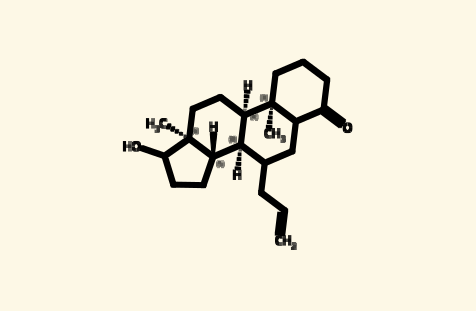 C=CCC1CC2C(=O)CCC[C@]2(C)[C@@H]2CC[C@]3(C)C(O)CC[C@H]3[C@H]12